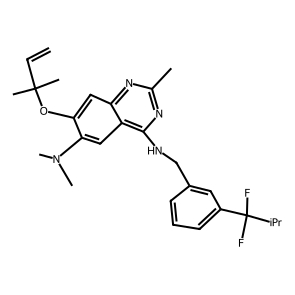 C=CC(C)(C)Oc1cc2nc(C)nc(NCc3cccc(C(F)(F)C(C)C)c3)c2cc1N(C)C